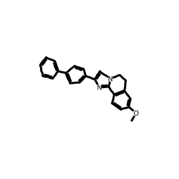 COc1ccc2c(c1)CCn1cc(-c3ccc(-c4ccccc4)cc3)nc1-2